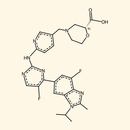 Cc1nc2c(F)cc(-c3nc(Nc4ccc(CN5CCO[C@@H](C(=O)O)C5)cn4)ncc3F)cc2n1C(C)C